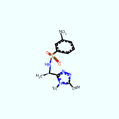 CCn1c(OC)nnc1[C@@H](C)NS(=O)(=O)c1cccc([N+](=O)[O-])c1